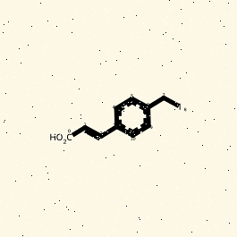 O=C(O)C=Cc1ccc(CI)cc1